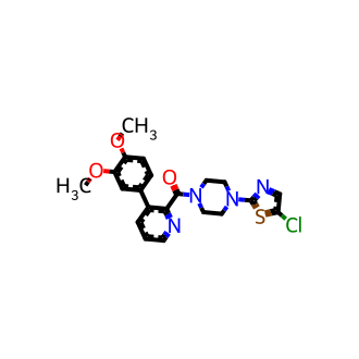 COc1ccc(-c2cccnc2C(=O)N2CCN(c3ncc(Cl)s3)CC2)cc1OC